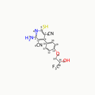 N#Cc1c(N)nc(S)c(C#N)c1-c1ccc(OCC(O)C(F)(F)F)cc1